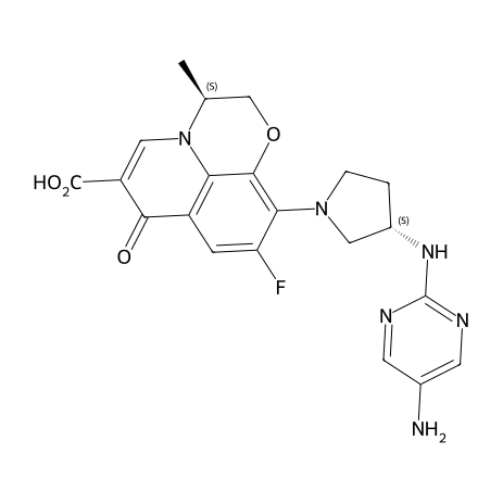 C[C@H]1COc2c(N3CC[C@H](Nc4ncc(N)cn4)C3)c(F)cc3c(=O)c(C(=O)O)cn1c23